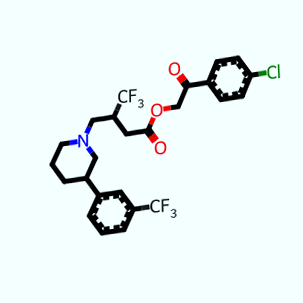 O=C(CC(CN1CCCC(c2cccc(C(F)(F)F)c2)C1)C(F)(F)F)OCC(=O)c1ccc(Cl)cc1